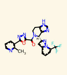 Cc1ncccc1-c1nnc(C(=O)N2CCc3[nH]cnc3[C@@H]2c2cc3cccc(C(F)(F)F)n3n2)o1